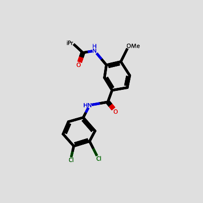 COc1ccc(C(=O)Nc2ccc(Cl)c(Cl)c2)cc1NC(=O)C(C)C